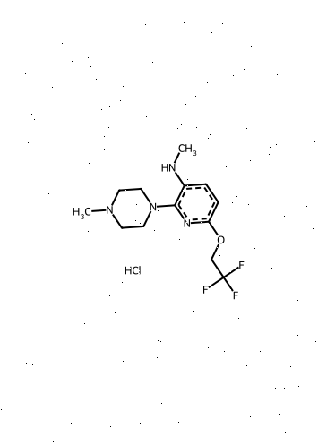 CNc1ccc(OCC(F)(F)F)nc1N1CCN(C)CC1.Cl